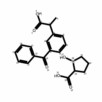 CC(C(=O)O)c1cccc(C(=O)c2ccccc2)c1.O=C(O)C1CCCN1O